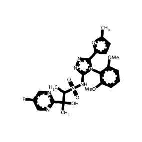 COc1cccc(OC)c1-n1c(NS(=O)(=O)C(C)C(C)(O)c2ncc(F)cn2)nnc1-c1ccc(C)o1